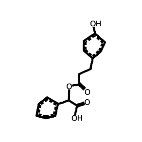 O=C(CCc1ccc(O)cc1)OC(C(=O)O)c1ccccc1